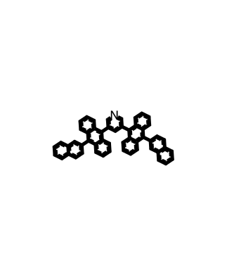 c1ccc2cc(-c3c4ccccc4c(-c4cncc(-c5c6ccccc6c(-c6ccc7ccccc7c6)c6ccccc56)c4)c4ccccc34)ccc2c1